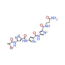 C=C(Br)C(=O)Nc1cc(C(=O)Nc2cc(C(=O)Nc3cc(C(=O)NCCC(N)=O)n(C)c3)n(C)c2)n(C)n1